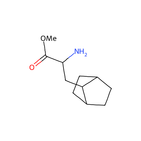 COC(=O)C(N)CC1C2CCC1CC2